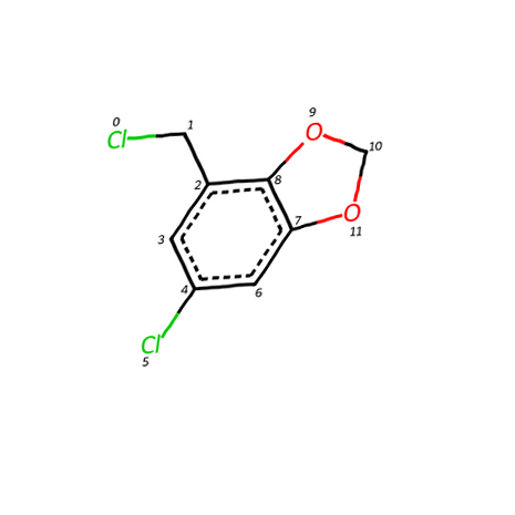 ClCc1cc(Cl)cc2c1OCO2